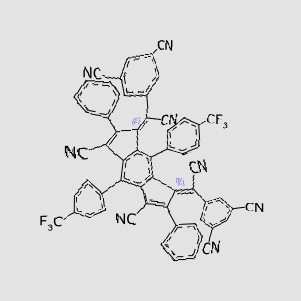 N#CC1=C(c2ccccc2)/C(=C(/C#N)c2cc(C#N)cc(C#N)c2)c2c1c(-c1ccc(C(F)(F)F)cc1)c1c(c2-c2ccc(C(F)(F)F)cc2)/C(=C(\C#N)c2cc(C#N)cc(C#N)c2)C(c2ccccc2)=C1C#N